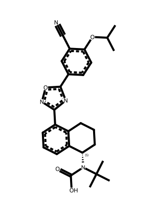 CC(C)Oc1ccc(-c2nc(-c3cccc4c3CCC[C@@H]4N(C(=O)O)C(C)(C)C)no2)cc1C#N